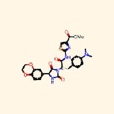 COC(=O)c1csc(NC(=O)[C@H](Cc2ccc(N(C)C)cc2)N2C(=O)NC(c3ccc4c(c3)OCCO4)C2=O)n1